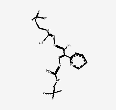 CC(=N\N=C(/S)NCC(F)(F)F)/C(=N/N=C(\S)NCC(F)(F)F)c1ccccn1